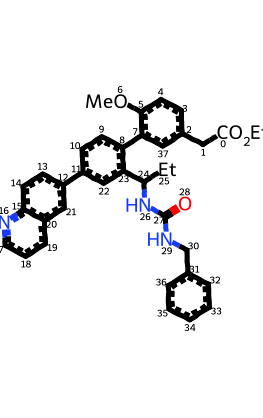 CCOC(=O)Cc1ccc(OC)c(-c2ccc(-c3ccc4ncccc4c3)cc2C(CC)NC(=O)NCc2ccccc2)c1